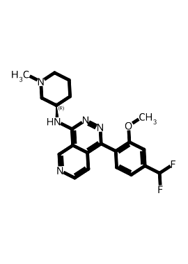 COc1cc(C(F)F)ccc1-c1nnc(N[C@@H]2CCCN(C)C2)c2cnccc12